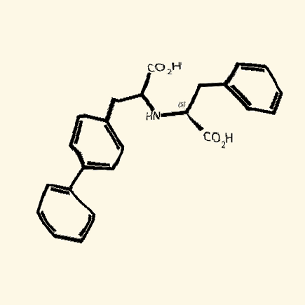 O=C(O)C(Cc1ccc(-c2ccccc2)cc1)N[C@@H](Cc1ccccc1)C(=O)O